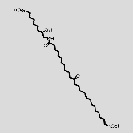 CCCCCCCCC=CCCCCCCCCCCCC(=O)CCCCCCCCCCC(=O)NC[C@H](O)CCCCCCCCCCCCCCCC